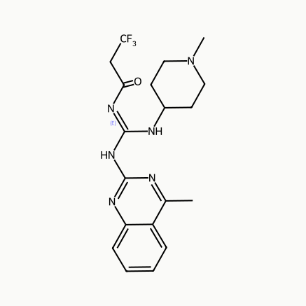 Cc1nc(N/C(=N/C(=O)CC(F)(F)F)NC2CCN(C)CC2)nc2ccccc12